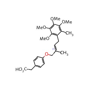 COc1c(C)c(C/C=C(\C)COc2ccc(CC(=O)O)cc2)c(OC)c(OC)c1OC